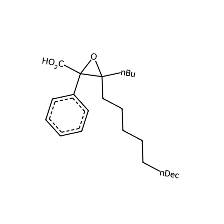 CCCCCCCCCCCCCCCC1(CCCC)OC1(C(=O)O)c1ccccc1